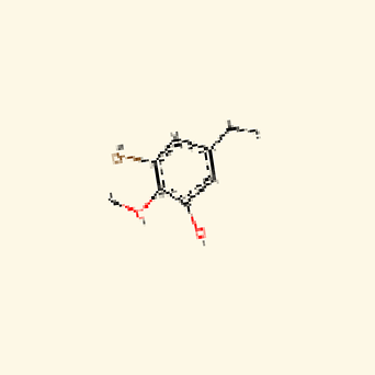 CCc1cc(O)c(OC)c(Br)c1